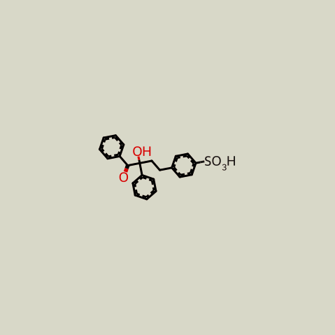 O=C(c1ccccc1)C(O)(CCc1ccc(S(=O)(=O)O)cc1)c1ccccc1